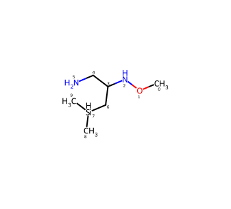 CONC(CN)C[SiH](C)C